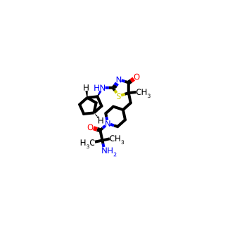 CC(C)(N)C(=O)N1CCC(CC2(C)SC(N[C@H]3C[C@H]4CC[C@H]3C4)=NC2=O)CC1